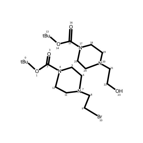 CC(C)(C)OC(=O)N1CCN(CCBr)CC1.CC(C)(C)OC(=O)N1CCN(CCO)CC1